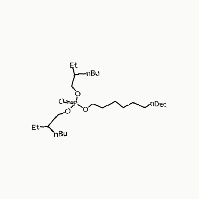 CCCCCCCCCCCCCCCCOP(=O)(OCC(CC)CCCC)OCC(CC)CCCC